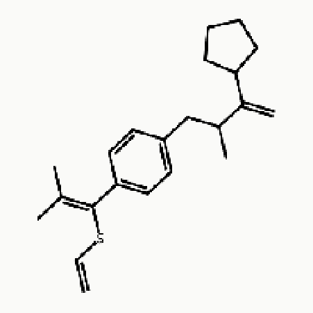 C=CSC(=C(C)C)c1ccc(CC(C)C(=C)C2CCCC2)cc1